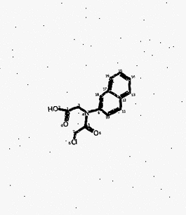 O=C(O)CN(C(=O)CCl)c1ccc2ccccc2c1